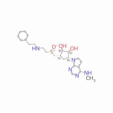 CNc1ncnc2c1ccn2[C@@H]1C[C@H](C[S+]([O-])CCNCCc2ccccc2)[C@@H](O)[C@H]1O